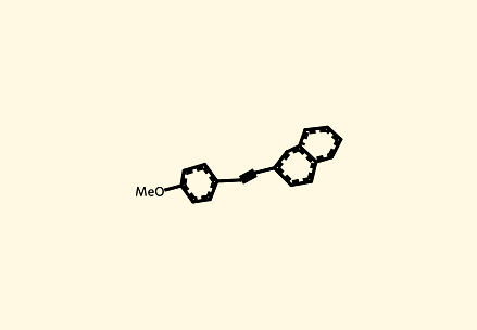 COc1ccc(C#Cc2ccc3ccccc3c2)cc1